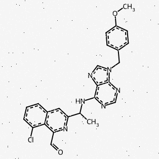 COc1ccc(Cn2cnc3c(NC(C)c4cc5cccc(Cl)c5c(C=O)n4)ncnc32)cc1